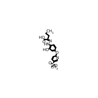 CCCC(=NNc1ccc(Oc2ccc(S(C)(=O)=O)cn2)cc1O)C(=O)O